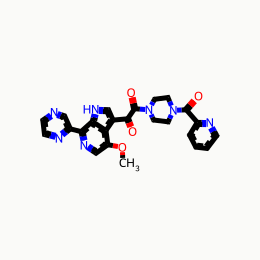 COc1cnc(-c2cnccn2)c2[nH]cc(C(=O)C(=O)N3CCN(C(=O)c4ccccn4)CC3)c12